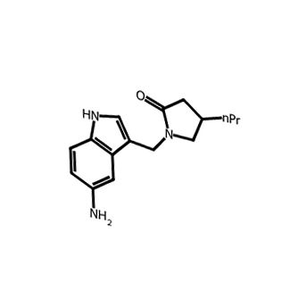 CCCC1CC(=O)N(Cc2c[nH]c3ccc(N)cc23)C1